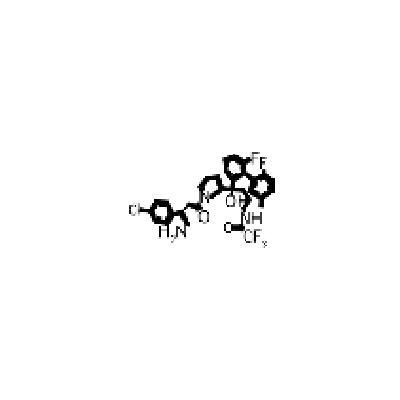 Cc1ccc(F)c(-c2c(F)cccc2[C@](O)(CCCNC(=O)C(F)(F)F)C2CCCN(C(=O)C[C@@H](CN)c3ccc(Cl)cc3)C2)c1